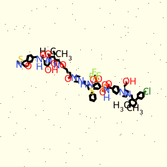 CC(C)[C@H](C(=O)N1C[C@H](O)C[C@H]1C(=O)NCc1ccc2c(c1)OCc1ncsc1-2)c1cc(OCCCCC(=O)N2CCN(CC[C@H](CSc3ccccc3)Nc3ccc(S(=O)(=O)NC(=O)c4ccc(N5CCN(CC6=C(c7ccc(Cl)cc7)CCC(C)(C)C6)C[C@@H]5CCO)cc4)cc3S(=O)(=O)C(F)(F)F)CC2)no1